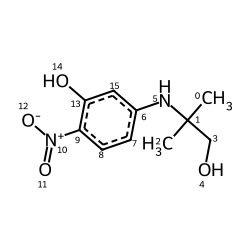 CC(C)(CO)Nc1ccc([N+](=O)[O-])c(O)c1